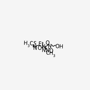 CCn1c(OCc2ncc(C)s2)nc2c1c(=O)n(CCCO)c(=O)n2C